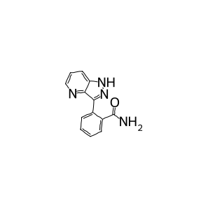 NC(=O)c1ccccc1-c1n[nH]c2cccnc12